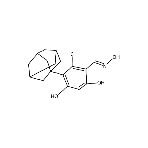 ON=Cc1c(O)cc(O)c(C23CC4CC(CC(C4)C2)C3)c1Cl